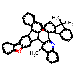 Cc1c(C2c3cc4oc5ccccc5c4cc3-c3c2ccc2ccccc32)c(-c2cccc3c2-c2ccccc2C3(C)C)nc2ccccc12